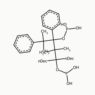 CCCCCCCCCCC(CCCCCCCCCC)(OP(O)O)C(C)(C)C(OP(O)O)(c1ccccc1)C(C)(C)c1ccccc1